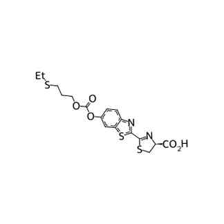 CCSCCCOC(=O)Oc1ccc2nc(C3=N[C@@H](C(=O)O)CS3)sc2c1